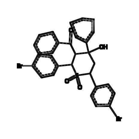 O=C(c1ccccc1)C1C(c2ccc(Br)cc2)S(=O)(=O)C(c2ccc(Br)cc2)CC1(O)c1ccccc1